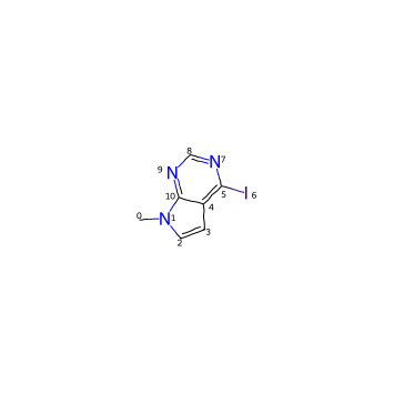 Cn1ccc2c(I)ncnc21